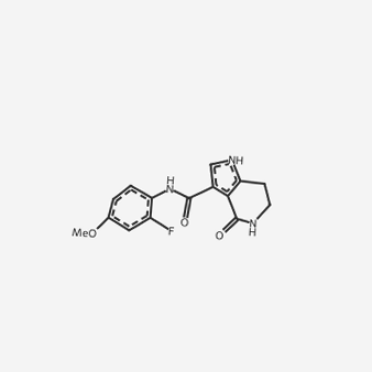 COc1ccc(NC(=O)c2c[nH]c3c2C(=O)NCC3)c(F)c1